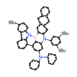 CC(C)(C)c1cc(N2c3cc4cc5ccccc5cc4cc3B3c4c(cc(N(c5ccccc5)c5ccccc5)cc42)-c2cccc4c5cc(C(C)(C)C)ccc5n3c24)cc(C(C)(C)C)c1